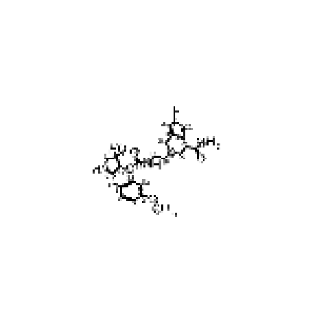 COc1ccc(C[C@@H]2NC[C@@H](O)[C@H]2OC(=O)NCCN(CCC(N)=O)Cc2c[nH]cn2)cc1